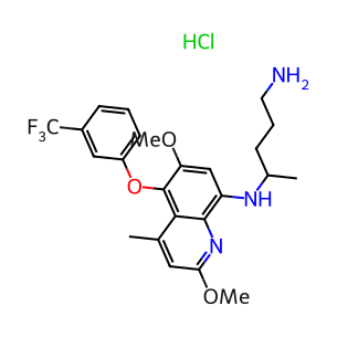 COc1cc(C)c2c(Oc3cccc(C(F)(F)F)c3)c(OC)cc(NC(C)CCCN)c2n1.Cl